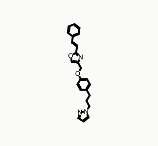 C(=C\c1nc(COc2ccc(CCCn3cccn3)cc2)co1)/c1ccccc1